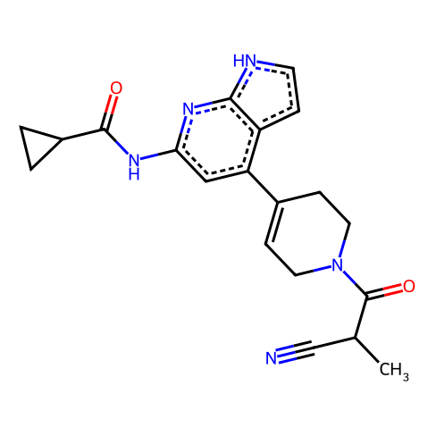 CC(C#N)C(=O)N1CC=C(c2cc(NC(=O)C3CC3)nc3[nH]ccc23)CC1